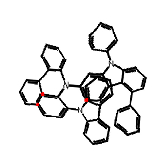 c1ccc(-c2ccccc2N(c2ccc3c4c(-c5ccccc5)cccc4n(-c4ccccc4)c3c2)c2ccccc2-n2c3ccccc3c3ccccc32)cc1